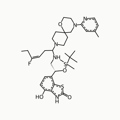 CC/C(F)=C\CC(NC[C@H](O[Si](C)(C)C(C)(C)C)c1ccc(O)c2[nH]c(=O)sc12)N1CCC2(CC1)CN(c1cc(C)ccn1)CCO2